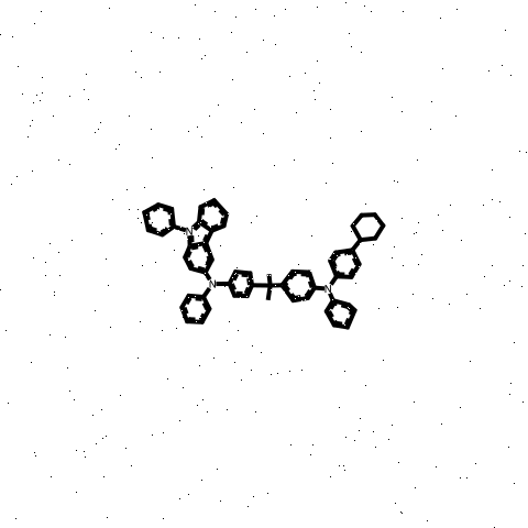 CC(C)(c1ccc(N(c2ccccc2)c2ccc(C3CCCCC3)cc2)cc1)c1ccc(N(c2ccccc2)c2ccc3c(c2)c2ccccc2n3-c2ccccc2)cc1